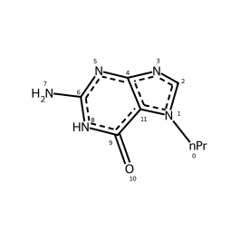 CCCn1cnc2nc(N)[nH]c(=O)c21